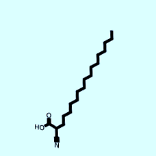 CCCCCCCCCCCCCCCCC(C#N)C(=O)O